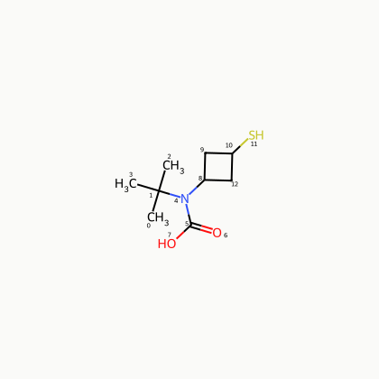 CC(C)(C)N(C(=O)O)C1CC(S)C1